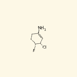 NC1=CC(Cl)C(F)CC1